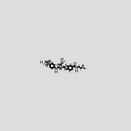 CN(C)CCNC(=O)c1ccc2nc(-n3nc(Nc4ccc(S(N)(=O)=O)cc4)nc3N)sc2c1